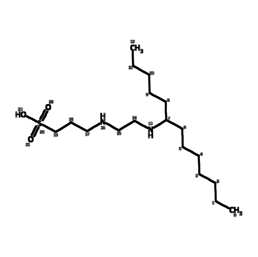 CCCCCCCC(CCCCC)NCCNCCCS(=O)(=O)O